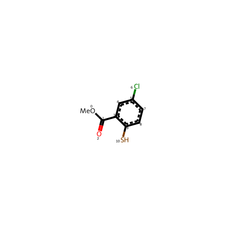 COC(=O)c1cc(Cl)ccc1S